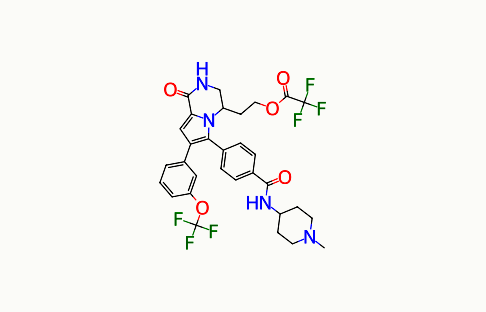 CN1CCC(NC(=O)c2ccc(-c3c(-c4cccc(OC(F)(F)F)c4)cc4n3C(CCOC(=O)C(F)(F)F)CNC4=O)cc2)CC1